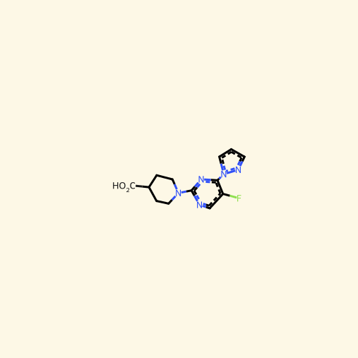 O=C(O)C1CCN(c2ncc(F)c(-n3cccn3)n2)CC1